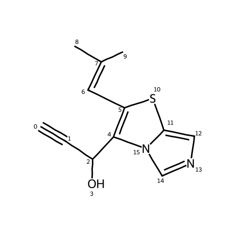 C#CC(O)c1c(C=C(C)C)sc2cncn12